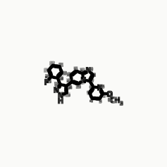 COc1cccc(-c2cnc3ccc(-c4c[nH]nc4-c4ccccc4F)cn23)n1